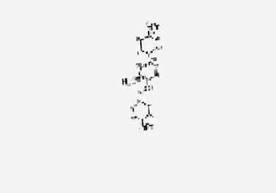 CCC[C@H]1CC[C@H](COc2ccc([C@H]3CC[C@H](CCC)CC3)cc2C)CC1